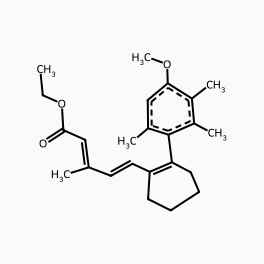 CCOC(=O)C=C(C)C=CC1=C(c2c(C)cc(OC)c(C)c2C)CCCC1